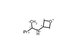 CC(C)C(C)NC1COC1